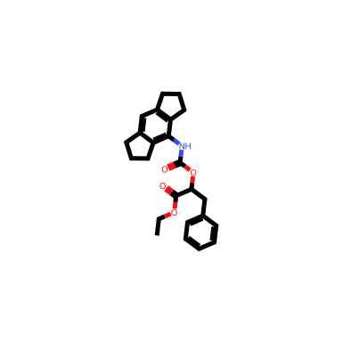 CCOC(=O)C(Cc1ccccc1)OC(=O)Nc1c2c(cc3c1CCC3)CCC2